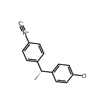 [C-]#[N+]c1ccc([C@@H](C)c2ccc(Cl)cc2)cc1